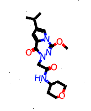 COc1nn(CC(=O)NC2CCOCC2)c(=O)c2cc(C(C)C)cn12